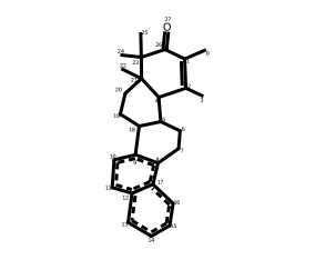 CC1=C(C)C2C3CCc4c(ccc5ccccc45)C3CCC2(C)C(C)(C)C1=O